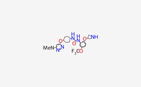 CNc1cc(OC2CCC(NC(=O)Nc3cc(OC(F)(F)F)ccc3OC3CNC3)CC2)ncn1